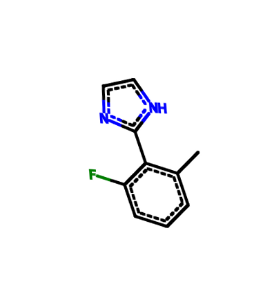 Cc1cccc(F)c1-c1ncc[nH]1